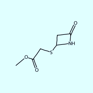 COC(=O)CSC1CC(=O)N1